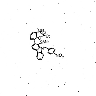 CCC(=O)Oc1c(-c2ccc3c4ccccc4n(Cc4ccc([N+](=O)[O-])cc4)c3c2SC)cccc1[N+](=O)[O-]